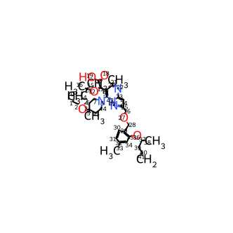 C=CCOC1(C)CCN(c2c(C(OC(C)(C)C)C(=O)O)c(C)nc3cc(COCc4ccc(C)cc4OC(C)CC=C)nn23)CC1